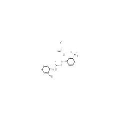 COCC(=O)NCC(NC(=S)Nc1ccccc1N)c1cccc(C(F)(F)F)c1